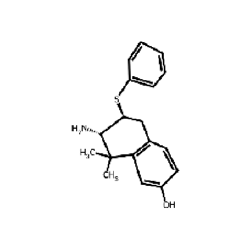 CC1(C)c2cc(O)ccc2C[C@H](Sc2ccccc2)[C@H]1N